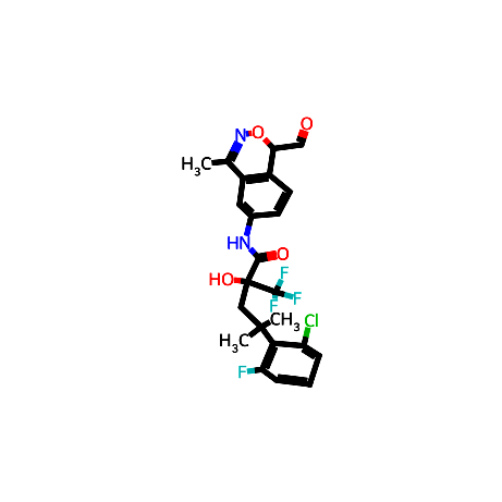 CC1=NOC(C=O)c2ccc(NC(=O)C(O)(CC(C)(C)c3c(F)cccc3Cl)C(F)(F)F)cc21